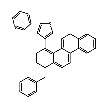 C1=c2c(ccc3c2=C(c2ccsc2)CCC3Cc2ccccc2)-c2ccccc2C1.c1ccncc1